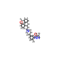 CC(=O)c1cccc(C[C@@H](CCN2CCC(c3ccc(C)c(NC(=O)C(C)C)c3)CC2)c2ccccc2)c1